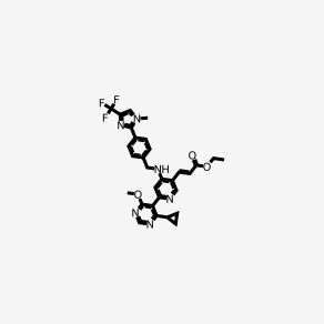 CCOC(=O)/C=C/c1cnc(-c2c(OC)ncnc2C2CC2)cc1NCc1ccc(-c2nc(C(F)(F)F)cn2C)cc1